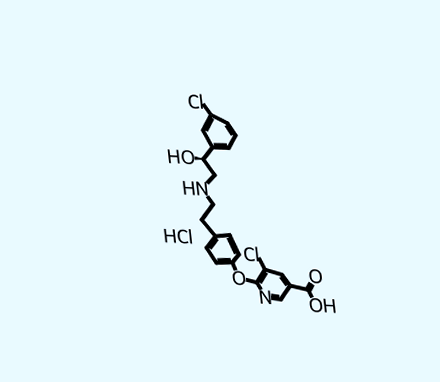 Cl.O=C(O)c1cnc(Oc2ccc(CCNC[C@@H](O)c3cccc(Cl)c3)cc2)c(Cl)c1